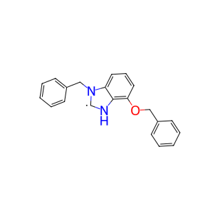 [CH]1Nc2c(OCc3ccccc3)cccc2N1Cc1ccccc1